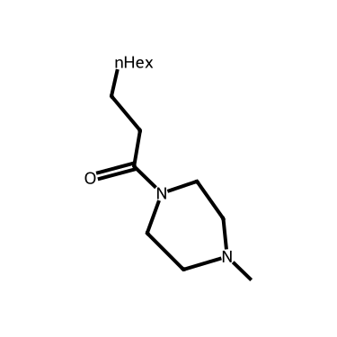 CCCCCCCCC(=O)N1CCN(C)CC1